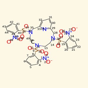 O=[N+]([O-])c1ccccc1S(=O)(=O)N1CCN(S(=O)(=O)c2ccccc2[N+](=O)[O-])Cc2cccc(n2)CN(S(=O)(=O)c2ccccc2[N+](=O)[O-])CC1